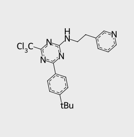 CC(C)(C)c1ccc(-c2nc(NCCc3cccnc3)nc(C(Cl)(Cl)Cl)n2)cc1